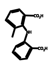 Cc1cccc(C(=O)O)c1Nc1ccccc1C(=O)O